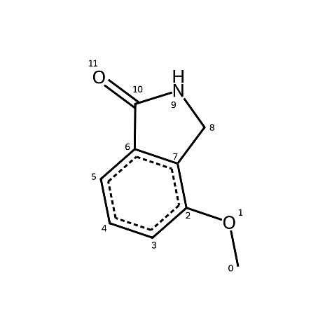 COc1cccc2c1CNC2=O